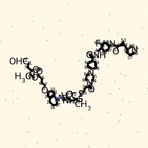 CN(OC(=O)CCCOc1ccc2c(c1)CCC/C2=N\NC(=O)CC(C)(C)SSCCC(=O)N1CCN(c2ccc(C(=O)NCc3ccc(NC(=O)C4CC4c4cccnc4)cc3F)cc2)CC1)C(=O)CCC=O